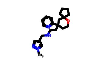 Cn1cc(CNCCC2(c3ccccn3)CCOC3(CCCC3)C2)cn1